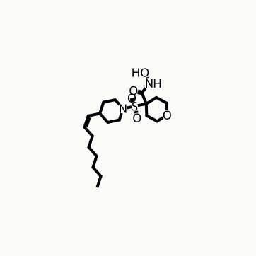 CCCCCC/C=C\C1CCN(S(=O)(=O)C2(C(=O)NO)CCOCC2)CC1